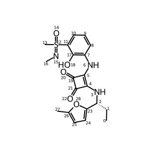 CC[C@@H](Nc1c(Nc2cccc(S(C)(=O)=NC)c2O)c(=O)c1=O)c1ccc(C)o1